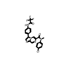 CN(C(=O)c1cn2c(-c3ccc(NC(=O)C(F)(F)F)cc3)cnc2cn1)c1ccc(Cl)cc1